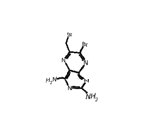 Nc1nc(N)c2nc(CBr)c(Br)nc2n1